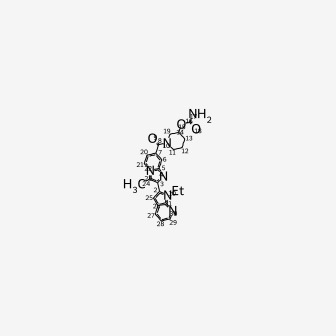 CCn1c(-c2nc3cc(C(=O)N4CCCC(OC(N)=O)C4)ccn3c2C)cc2cccnc21